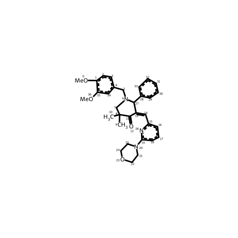 COc1ccc(CN2CC(C)(C)C(=O)C(=Cc3cccc(N4CCOCC4)n3)C2c2ccccc2)cc1OC